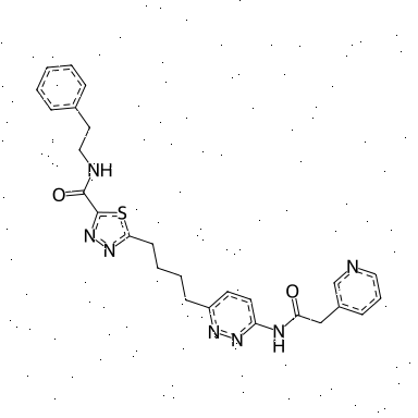 O=C(Cc1cccnc1)Nc1ccc(CCCCc2nnc(C(=O)NCCc3ccccc3)s2)nn1